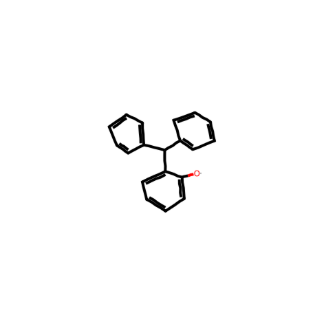 [O]c1ccccc1C(c1ccccc1)c1ccccc1